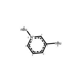 CCCCc1ccc[n+](CCCC)c1